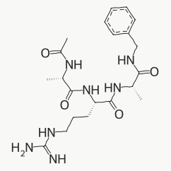 CC(=O)N[C@@H](C)C(=O)N[C@@H](CCCNC(=N)N)C(=O)N[C@@H](C)C(=O)NCc1ccccc1